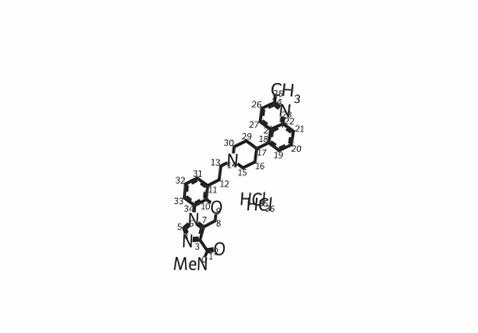 CNC(=O)c1ncn2c1COc1c(CCN3CCC(c4cccc5nc(C)ccc45)CC3)cccc1-2.Cl.Cl